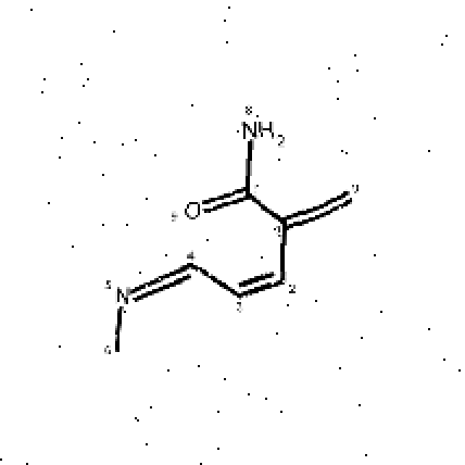 C=C(/C=C\C=N/C)C(N)=O